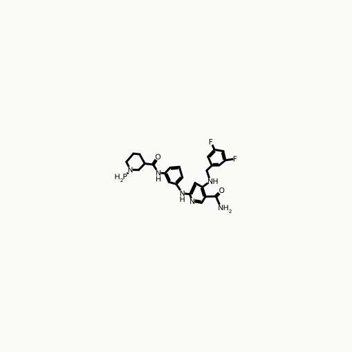 NC(=O)c1cnc(Nc2cccc(NC(=O)C3CCCN(P)C3)c2)cc1NCc1cc(F)cc(F)c1